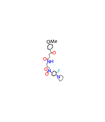 COc1ccc(C(=O)CCC(=O)NCC2CN(c3ccc(N4CCCCC4)c(F)c3)C(=O)O2)cc1